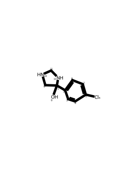 OC1(c2ccc(Cl)cc2)CNCN1